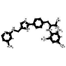 Cc1ccnc(NCc2cnc(-c3ccc(CC(Nc4c(C)cc(C)cc4C)C(=O)O)cc3)[nH]2)c1